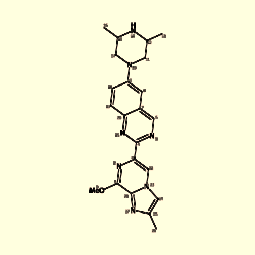 COc1nc(-c2ncc3cc(N4CC(C)NC(C)C4)ccc3n2)cn2cc(C)nc12